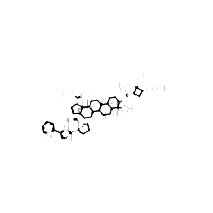 C=C(C)[C@@H]1CC[C@]2(C(=O)N3CCC[C@H]3c3ncc(-c4ccccn4)[nH]3)CC[C@]3(C)[C@H](CC[C@@H]4[C@@]5(C)CC[C@H](OC(=O)[C@H]6C[C@@H](C(=O)O)C6(C)C)C(C)(C)[C@@H]5CC[C@]43C)[C@@H]12